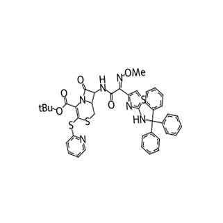 CON=C(C(=O)NC1C(=O)N2C(C(=O)OC(C)(C)C)=C(Sc3ccccn3)SCC12)c1csc(NC(c2ccccc2)(c2ccccc2)c2ccccc2)n1